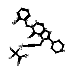 CC#CCn1c(N2CCNCC2)nc2cnn(Cc3ccccc3C(F)(F)F)c(=O)c21.O=C(O)C(F)(F)F